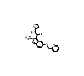 Cn1nc2ccc(OCc3ccccn3)cc2c1C(=O)NC1CCO1